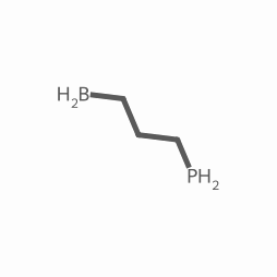 BCCCP